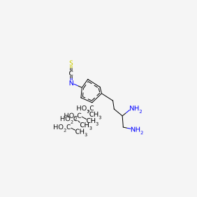 CC(=O)O.CC(=O)O.CC(=O)O.CC(=O)O.NCC(N)CCc1ccc(N=C=S)cc1